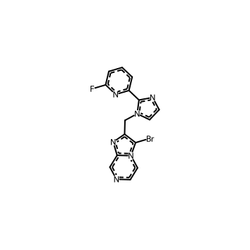 Fc1cccc(-c2nccn2Cc2nc3cnccn3c2Br)n1